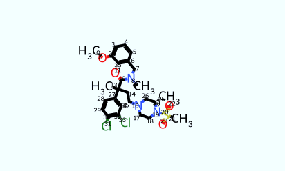 COc1cccc(CN(C)C(=O)C(C)(CCN2CCN(S(C)(=O)=O)[C@@H](C)C2)c2ccc(Cl)c(Cl)c2)c1